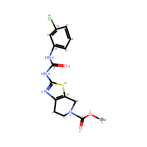 CC(C)(C)OC(=O)N1CCc2nc(NC(=O)Nc3cccc(Cl)c3)sc2C1